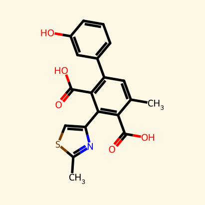 Cc1nc(-c2c(C(=O)O)c(C)cc(-c3cccc(O)c3)c2C(=O)O)cs1